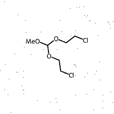 COC(OCCCl)OCCCl